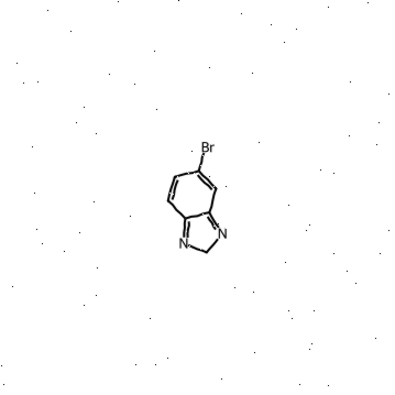 Brc1ccc2c(c1)=NCN=2